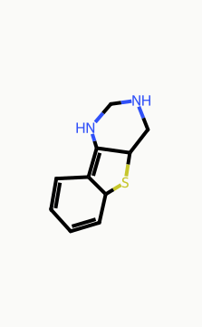 C1=CC2=C3NCNCC3SC2C=C1